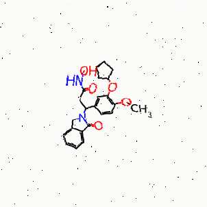 COc1ccc(C(CC(=O)NO)N2Cc3ccccc3C2=O)cc1OC1CCCC1